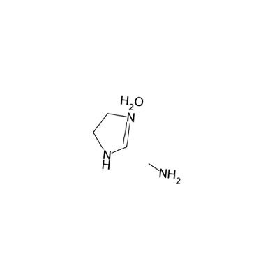 C1=NCCN1.CN.O